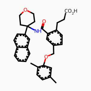 Cc1ccc(C)c(OCc2ccc(CCC(=O)O)c(C(=O)NC3(c4ccc5ccccc5c4)CCOCC3)c2)c1